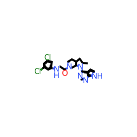 CC1CC2CCN(C(=O)CNc3cc(Cl)cc(Cl)c3)CC2N1c1ncnc2[nH]ccc12